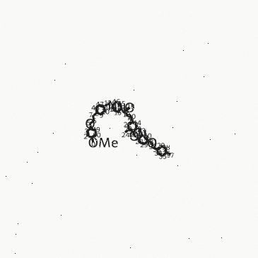 COc1ccc(OCCc2ccc(CN3CCN(C(=O)C=Cc4cc(C)c(Oc5ccc(OCc6ccc(C)cc6)cn5)c(C)c4)CC3)cc2)cc1